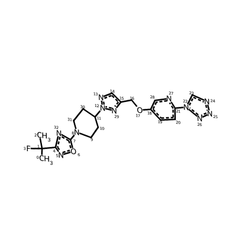 CC(C)(F)c1noc(N2CCC(n3ncc(COc4ccc(-n5cnnn5)nc4)n3)CC2)n1